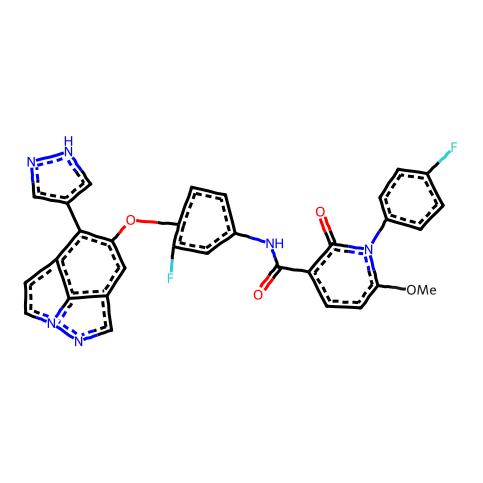 COc1ccc(C(=O)Nc2ccc(Oc3cc4cnn5ccc(c3-c3cn[nH]c3)c45)c(F)c2)c(=O)n1-c1ccc(F)cc1